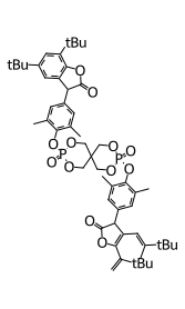 C=C(C1=C(/C=C(\C)C(C)(C)C)C(c2cc(C)c(OP3(=O)OCC4(CO3)COP(=O)(Oc3c(C)cc(C5C(=O)Oc6c5cc(C(C)(C)C)cc6C(C)(C)C)cc3C)OC4)c(C)c2)C(=O)O1)C(C)(C)C